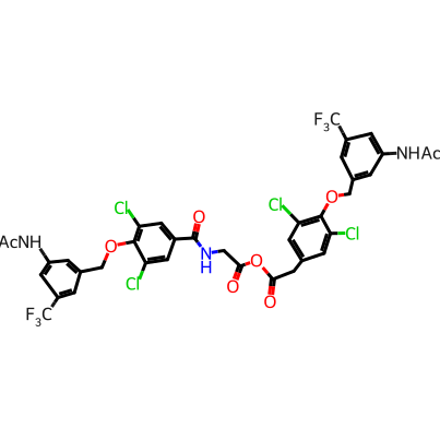 CC(=O)Nc1cc(COc2c(Cl)cc(CC(=O)OC(=O)CNC(=O)c3cc(Cl)c(OCc4cc(NC(C)=O)cc(C(F)(F)F)c4)c(Cl)c3)cc2Cl)cc(C(F)(F)F)c1